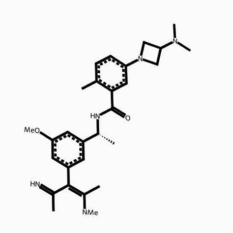 CN/C(C)=C(\C(C)=N)c1cc(OC)cc([C@@H](C)NC(=O)c2cc(N3CC(N(C)C)C3)ccc2C)c1